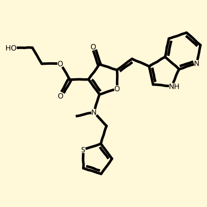 CN(Cc1cccs1)C1=C(C(=O)OCCO)C(=O)/C(=C/c2c[nH]c3ncccc23)O1